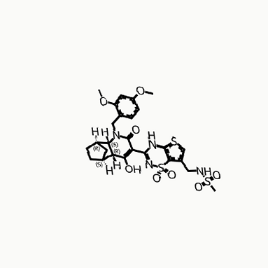 COc1ccc(CN2C(=O)C(C3=NS(=O)(=O)c4c(CNS(C)(=O)=O)csc4N3)=C(O)[C@@H]3[C@H]4CC[C@H](C4)[C@@H]32)c(OC)c1